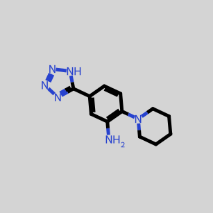 Nc1cc(-c2nnn[nH]2)ccc1N1CCCCC1